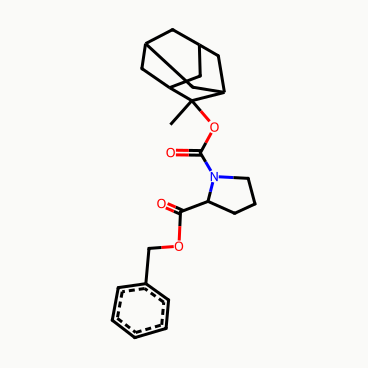 CC1(OC(=O)N2CCCC2C(=O)OCc2ccccc2)C2CC3CC(C2)CC1C3